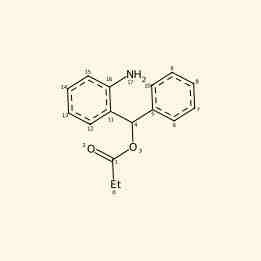 CCC(=O)OC(c1ccccc1)c1ccccc1N